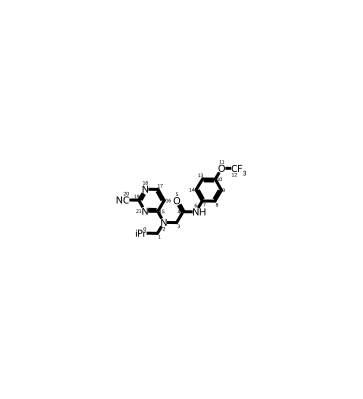 CC(C)CN(CC(=O)Nc1ccc(OC(F)(F)F)cc1)c1ccnc(C#N)n1